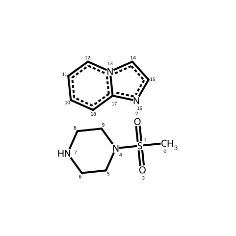 CS(=O)(=O)N1CCNCC1.c1ccn2ccnc2c1